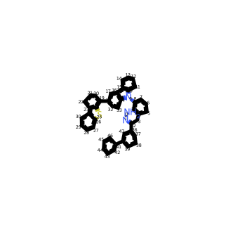 N/N=C(\Cc1cccc(-n2c3ccccc3c3cc(-c4cccc5c4sc4ccccc45)ccc32)c1)c1cccc(-c2ccccc2)c1